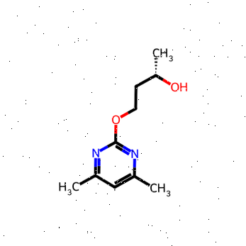 Cc1[c]c(C)nc(OCC[C@H](C)O)n1